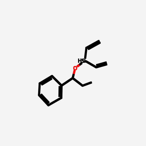 C=C[SiH](C=C)OC(CC)c1ccccc1